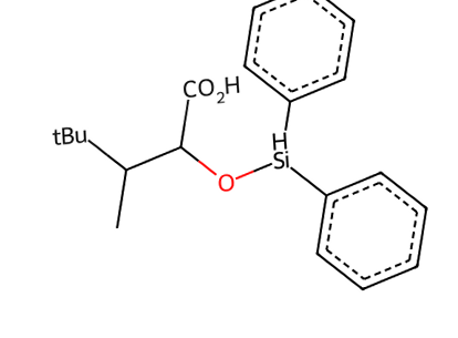 CC(C(O[SiH](c1ccccc1)c1ccccc1)C(=O)O)C(C)(C)C